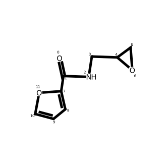 O=C(NCC1CO1)c1ccco1